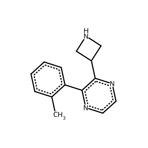 Cc1ccccc1-c1nccnc1C1CNC1